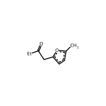 CCC(=O)Cc1ccc(C)o1